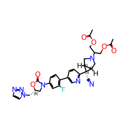 CC(=O)OCC(COC(C)=O)N1C[C@@H]2[C@H](C1)[C@@]2(C#N)c1ccc(-c2ccc(N3C[C@H](Cn4ccnn4)OC3=O)cc2F)cn1